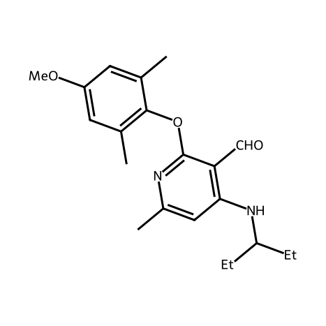 CCC(CC)Nc1cc(C)nc(Oc2c(C)cc(OC)cc2C)c1C=O